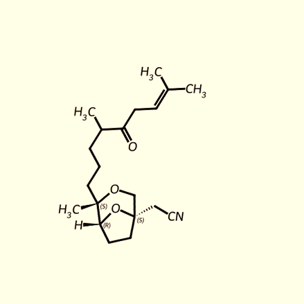 CC(C)=CCC(=O)C(C)CCC[C@]1(C)OC[C@@]2(CC#N)CC[C@H]1O2